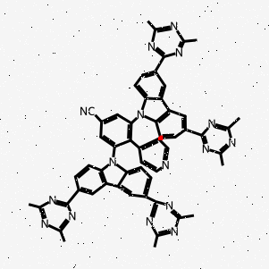 Cc1nc(C)nc(-c2ccc3c(c2)c2cc(-c4nc(C)nc(C)n4)ccc2n3-c2cc(C#N)cc(-n3c4ccc(-c5nc(C)nc(C)n5)cc4c4cc(-c5nc(C)nc(C)n5)ccc43)c2-c2ccncc2)n1